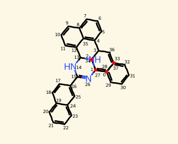 C1=CCC(c2cccc3cccc(C4NC(c5ccc6ccccc6c5)=NC(c5ccccc5)N4)c23)C=C1